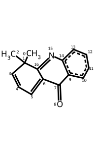 CC1(C)C=CC=C2C(=O)c3ccccc3N=C21